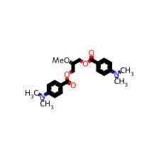 COC(COC(=O)c1ccc(N(C)C)cc1)COC(=O)c1ccc(N(C)C)cc1